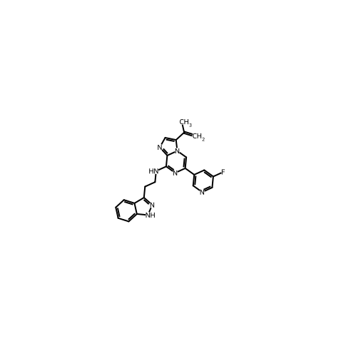 C=C(C)c1cnc2c(NCCc3n[nH]c4ccccc34)nc(-c3cncc(F)c3)cn12